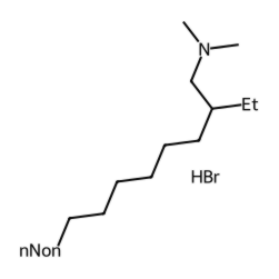 Br.CCCCCCCCCCCCCCCC(CC)CN(C)C